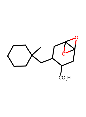 CC1(CC2CC34OC3(CC2C(=O)O)O4)CCCCC1